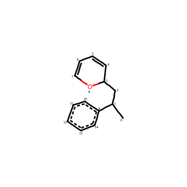 CC(CC1C=CC=CO1)c1ccccc1